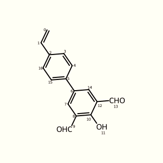 C=Cc1ccc(-c2cc(C=O)c(O)c(C=O)c2)cc1